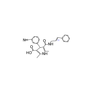 CC1=C(C(=O)O)C(c2cccc(C#N)c2)C(C(=O)NC/C=C/c2ccccc2)=C(C)N1